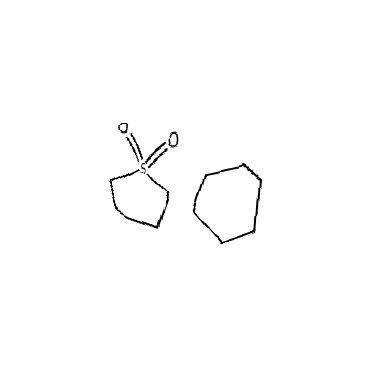 C1CCCCC1.O=S1(=O)CCCC1